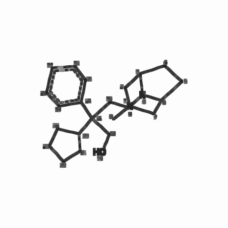 CN1CC2CCC(C1)N2CCC(CO)(c1ccccc1)C1CCCC1